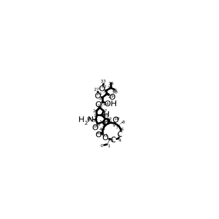 CC[C@H]1CCCC[C@@H](C)C(=O)C2=C[C@@H]3C(C(=O)[C@@H](N)C4C[C@@H](OC(O)C(OC)C(OC)C(OC)C(C)C)C[C@H]43)C2CC(=O)O1